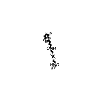 CC(C)C(=O)NCCOCCOCCNC(=O)CCCC(=O)ON1C(=O)CCC1=O